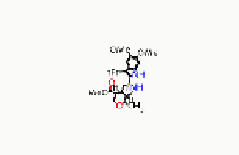 CCCc1c([C@@H]2C[C@@H]3C(C(=O)OC)=CO[C@H](C)[C@H]3CN2)[nH]c2cc(OC)c(OC)cc12